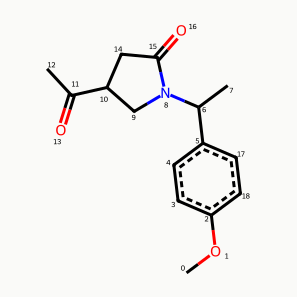 COc1ccc(C(C)N2CC(C(C)=O)CC2=O)cc1